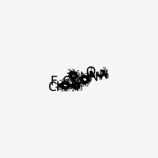 CN(C)CCNC(=O)c1ccc(-c2ccc(-c3ccc(Cl)cc3)n2-c2ccccc2C(F)(F)F)cc1